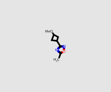 COC1CC(c2noc(C)n2)C1